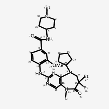 CCN1CCC(NC(=O)c2ccc(Nc3ncc4c(n3)N(C3CCCC3)CC(CC)(CC)C(=O)N4C)c(OC)c2)CC1